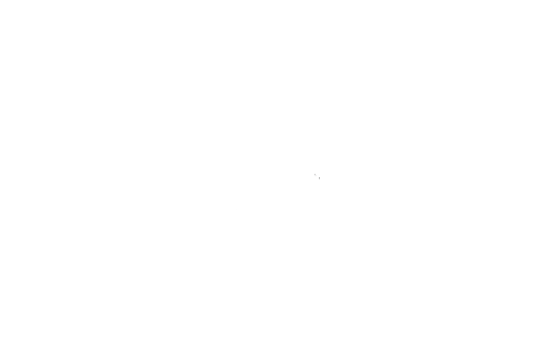 CCC(N)Oc1cccc(CCl)c1